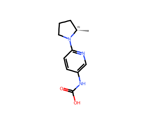 C[C@H]1CCCN1c1ccc(NC(=O)O)cn1